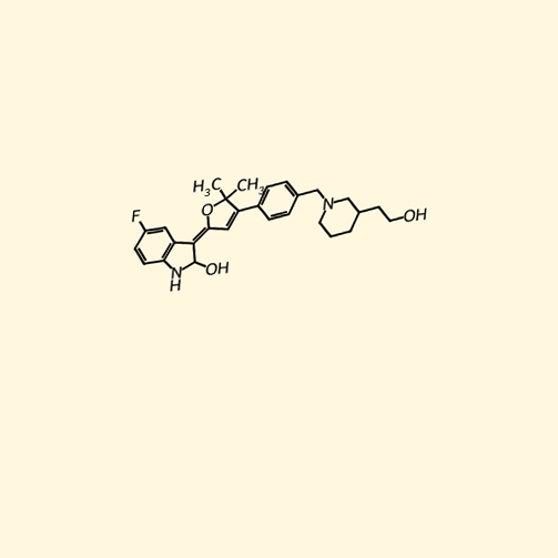 CC1(C)O/C(=C2\c3cc(F)ccc3NC2O)C=C1c1ccc(CN2CCCC(CCO)C2)cc1